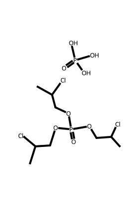 CC(Cl)COP(=O)(OCC(C)Cl)OCC(C)Cl.O=P(O)(O)O